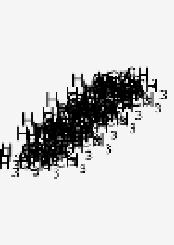 C[SiH](O[SiH](C)O[Si](C)(C)O[Si](C)(C)O[Si](C)(C)O[Si](C)(C)O[Si](C)(C)O[Si](C)(C)O[Si](C)(C)O[Si](C)(C)O[Si](C)(C)O[Si](C)(C)O[Si](C)(C)O[Si](C)(C)O[Si](C)(C)O[Si](C)(C)O[Si](C)(C)O[Si](C)(C)O[Si](C)(C)O[Si](C)(C)O[Si](C)(C)O[Si](C)(C)O[Si](C)(C)O[Si](C)(C)O[Si](C)(C)O[Si](C)(C)O[Si](C)(C)O[Si](C)(C)O[Si](C)(C)O[Si](C)(C)C)O[Si](C)(C)C